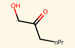 CCCCC(=O)[CH]O